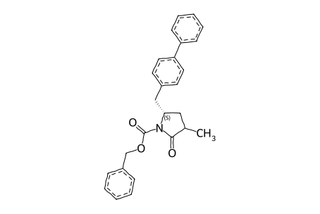 CC1C[C@@H](Cc2ccc(-c3ccccc3)cc2)N(C(=O)OCc2ccccc2)C1=O